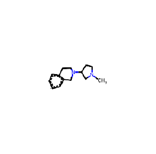 CN1CCC(N2CCc3cc[c]cc3C2)C1